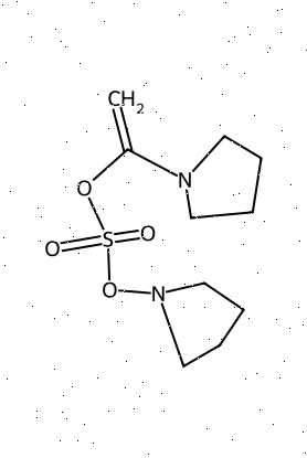 C=C(OS(=O)(=O)ON1CCCC1)N1CCCC1